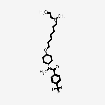 C=CCN(C)CCCCCCCO[C@H]1CC[C@H](N(C)C(=O)c2ccc(C(F)(F)F)cc2)CC1